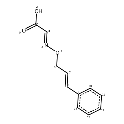 O=C(O)C=NOCC=Cc1ccccc1